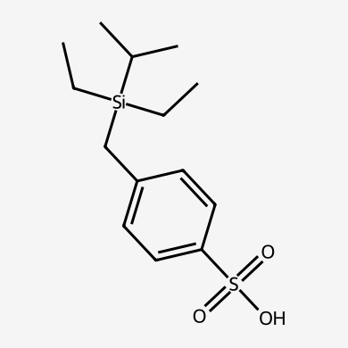 CC[Si](CC)(Cc1ccc(S(=O)(=O)O)cc1)C(C)C